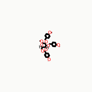 COc1ccc(CO[C@@H]2[C@@H](OCc3ccc(OC)cc3)[C@@H](OC)O[C@@H]3COC(c4ccc(OC)cc4)O[C@@H]23)cc1